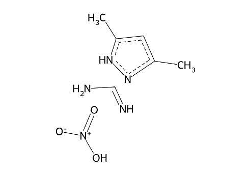 Cc1cc(C)[nH]n1.N=CN.O=[N+]([O-])O